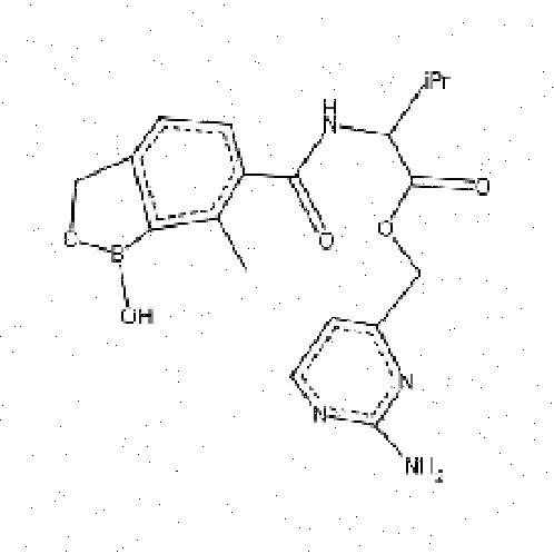 Cc1c(C(=O)NC(C(=O)OCc2ccnc(N)n2)C(C)C)ccc2c1B(O)OC2